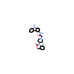 O=C(CN1CCC(N2C(=O)OCc3cccc(Cl)c32)CC1)Nc1ccc2[nH]c3ccccc3c2c1